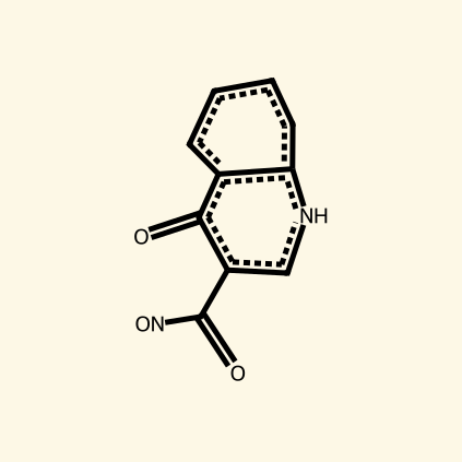 O=NC(=O)c1c[nH]c2ccccc2c1=O